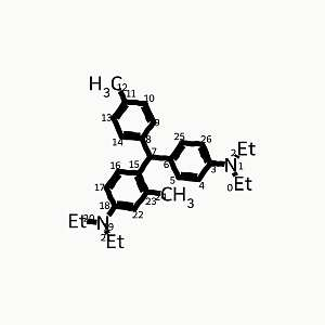 CCN(CC)c1ccc(C(c2ccc(C)cc2)c2ccc(N(CC)CC)cc2C)cc1